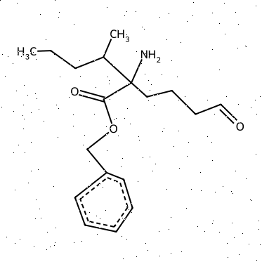 CCCC(C)C(N)(CCCC=O)C(=O)OCc1ccccc1